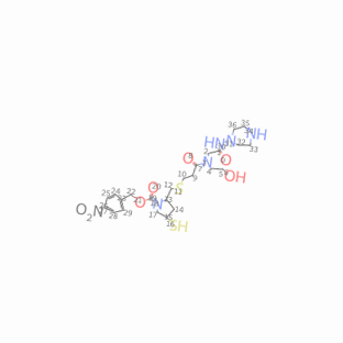 O=C(CN(CCO)C(=O)CCSCC1CC(S)CN1C(=O)OCc1ccc([N+](=O)[O-])cc1)NN1CCNCC1